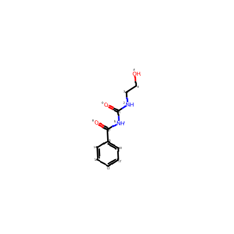 O=C(NCCO)NC(=O)c1ccccc1